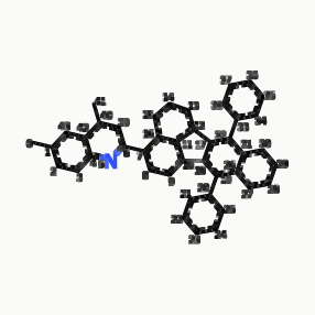 Cc1ccc2nc(-c3ccc4c5c(cccc35)-c3c-4c(-c4ccccc4)c4ccccc4c3-c3ccccc3)cc(C)c2c1